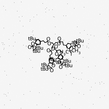 CC(C)(C)OC(=O)OC1=C(C(C)(C)I)C=C(CCC(=O)OCC(COC(=O)CCc2cc(C(C)(C)C)c(OC(=O)OC(C)(C)C)c(C(C)(C)C)c2)(COC(=O)CCc2cc(C(C)(C)C)c(OC(=O)OC(C)(C)C)c(C(C)(C)C)c2)OCC(=O)CCc2cc(C(C)(C)C)c(OC(=O)OC(C)(C)C)c(C(C)(C)C)c2)CC1C(C)(C)C